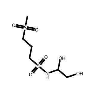 CS(=O)(=O)CCCS(=O)(=O)NC(O)CO